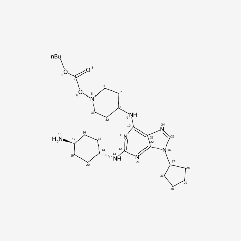 CCCCOC(=O)ON1CCC(Nc2nc(N[C@H]3CC[C@H](N)CC3)nc3c2ncn3C2CCCC2)CC1